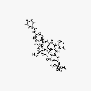 CC(C)C(NC(=O)CNC(=O)[C@H](CC(=O)OC(C)(C)C)NC(=O)OCc1ccccc1)C(=O)NN(CC(=O)OC(C)(C)C)C(=O)C=O